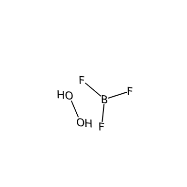 FB(F)F.OO